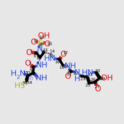 N=C(C(=O)N[C@@H]1C(=O)N(S(=O)(=O)O)[C@@H]1CNC(=O)CNC(=O)NCc1cc(=O)c(O)c[nH]1)/C(N)=C/S